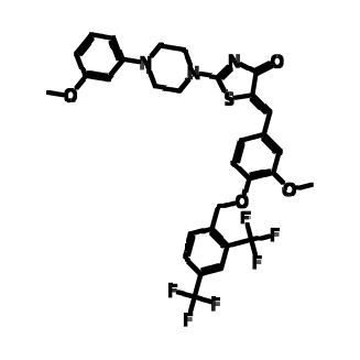 COc1cccc(N2CCN(C3=NC(=O)C(=Cc4ccc(OCc5ccc(C(F)(F)F)cc5C(F)(F)F)c(OC)c4)S3)CC2)c1